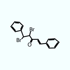 O=C(/C=C/c1ccccc1)C(Br)C(Br)c1ccccc1